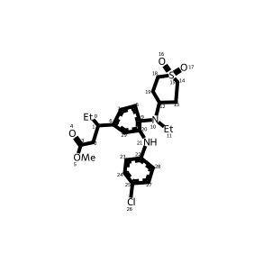 CCC(CC(=O)OC)c1ccc(N(CC)C2CCS(=O)(=O)CC2)c(Nc2ccc(Cl)cc2)c1